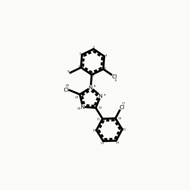 Cc1cccc(Cl)c1-n1nc(-c2ccccc2Cl)nc1Cl